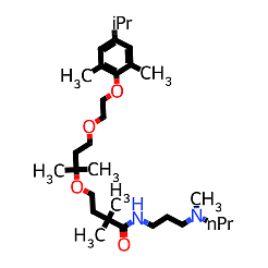 CCCN(C)CCCNC(=O)C(C)(C)CCOC(C)(C)CCOCCOc1c(C)cc(C(C)C)cc1C